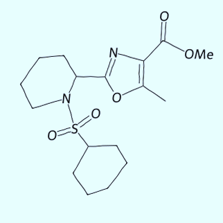 COC(=O)c1nc(C2CCCCN2S(=O)(=O)C2CCCCC2)oc1C